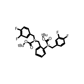 CC(C)(C)OC(=O)N(Cc1ccc(F)c(F)c1)Cc1ccccc1N(Cc1ccc(F)c(F)c1)C(=O)OC(C)(C)C